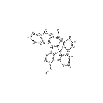 CCc1ccc2c(c1)C1(c3ccccc3-c3ccccc31)c1cc(C)c3oc4ccccc4c3c1-2